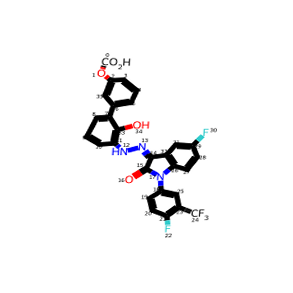 O=C(O)Oc1cccc(-c2cccc(NN=C3C(=O)N(c4ccc(F)c(C(F)(F)F)c4)c4ccc(F)cc43)c2O)c1